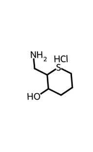 Cl.NCC1SCCCC1O